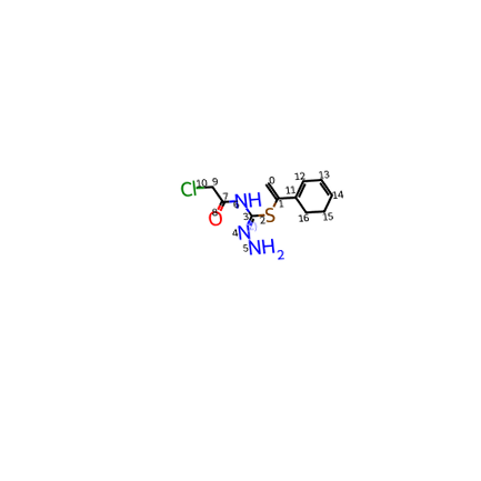 C=C(S/C(=N\N)NC(=O)CCl)C1=CC=CCC1